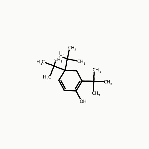 CC(C)(C)C1=C(O)C=CC(C(C)(C)C)(C(C)(C)C)C1